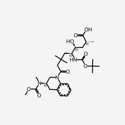 COC(=O)N(C)[C@@H]1Cc2ccccc2N(C(=O)CC(C)(C)C[C@H](NC(=O)OC(C)(C)C)[C@@H](O)C[C@@H](C)C(=O)O)C1